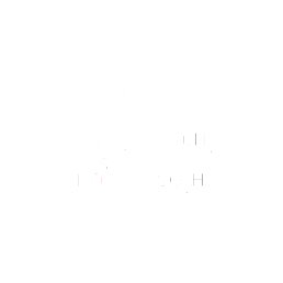 C=CC(=O)O.O.c1ccc2c(c1)S2